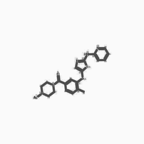 CC(=O)N1CCN(C(=O)c2ccc(C)c(Sc3cnc(Nc4ccccn4)s3)c2)CC1